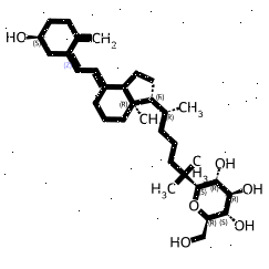 C=C1CC[C@H](O)C/C1=C/C=C1CCC[C@@]2(C)C1CC[C@@H]2[C@H](C)CCCC(C)(C)[C@@H]1O[C@H](CO)[C@@H](O)[C@H](O)[C@H]1O